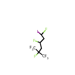 FC(I)CC(F)CC(F)(C(F)(F)F)C(F)(F)F